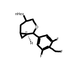 CCCCCCC1COC(c2cc(F)c(CF)c(F)c2)[C@H]2CC2C1